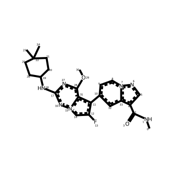 CNC(=O)c1cnn2ccc(-c3c(F)cn4nc(NC5CCC(C)(C)CC5)nc(OC)c34)cc12